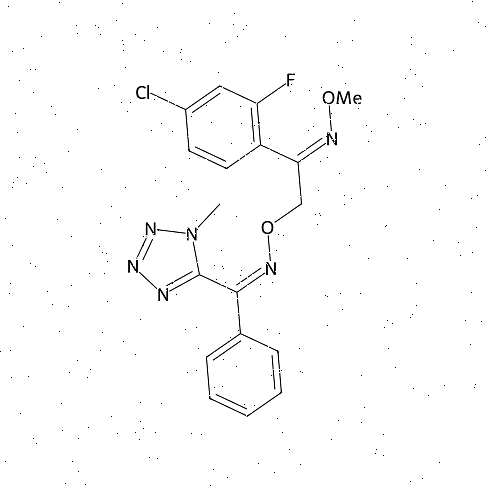 CO/N=C(/CO/N=C(/c1ccccc1)c1nnnn1C)c1ccc(Cl)cc1F